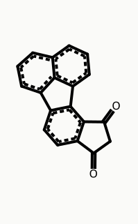 O=C1CC(=O)c2c1ccc1c2-c2cccc3cccc-1c23